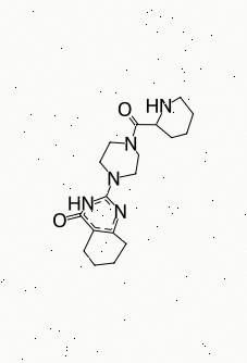 O=C(C1CCCCN1)N1CCN(c2nc3c(c(=O)[nH]2)CCCC3)CC1